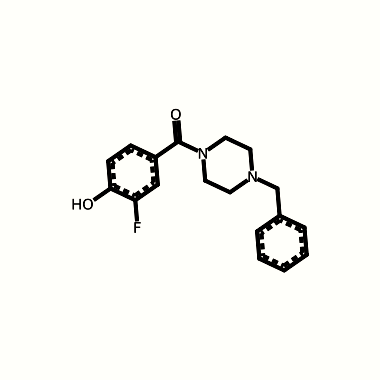 O=C(c1ccc(O)c(F)c1)N1CCN(Cc2ccccc2)CC1